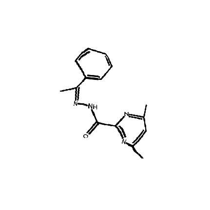 CC(=NNC(=O)c1nc(C)cc(C)n1)c1ccccc1